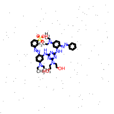 CCN(CC)c1ccc(/N=N/c2ccccc2)c(Nc2nc(Nc3cc(N(CC)CC)ccc3/N=N/c3cccc(S(=O)(=O)O)c3)nc(N(CCO)CCO)n2)c1